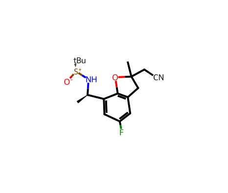 C[C@@H](N[S@+]([O-])C(C)(C)C)c1cc(F)cc2c1OC(C)(CC#N)C2